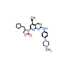 C#Cc1cc(N2C(=O)OCC2CC2CCCC2)nc2nc(Nc3ccc(N4CCN(C)CC4)cc3)ncc12